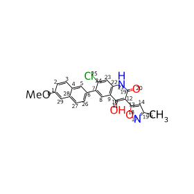 COc1ccc2cc(-c3cc4c(O)c(-c5cc(C)no5)c(=O)[nH]c4cc3Cl)ccc2c1